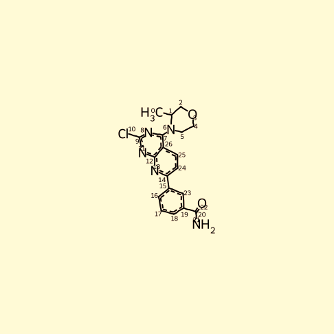 CC1COCCN1c1nc(Cl)nc2nc(-c3cccc(C(N)=O)c3)ccc12